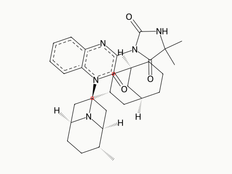 C[C@@H]1CC[C@H]2C[C@@H](n3c(=O)c(N4C(=O)NC(C)(C)C4=O)nc4ccccc43)C[C@@H]1N2C[C@H]1C[C@@H]2CCC[C@@H](C2)C1